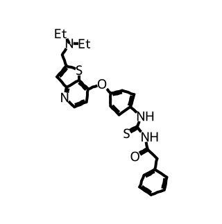 CCN(CC)Cc1cc2nccc(Oc3ccc(NC(=S)NC(=O)Cc4ccccc4)cc3)c2s1